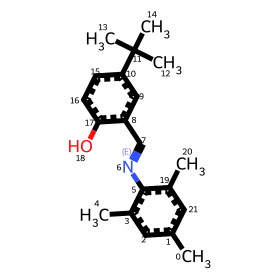 Cc1cc(C)c(/N=C/c2cc(C(C)(C)C)ccc2O)c(C)c1